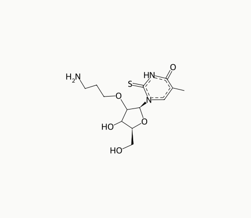 Cc1cn([C@H]2O[C@@H](CO)C(O)C2OCCCN)c(=S)[nH]c1=O